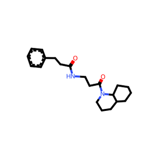 O=C(CCc1ccccc1)NCCC(=O)N1CCCC2CCCCC21